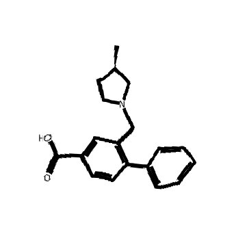 C[C@@H]1CCN(Cc2cc(C(=O)O)ccc2-c2ccccc2)C1